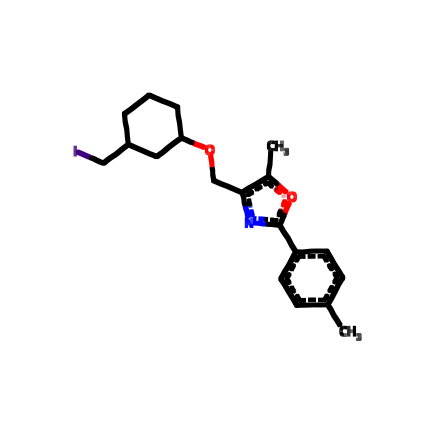 Cc1ccc(-c2nc(COC3CCCC(CI)C3)c(C)o2)cc1